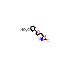 O=C1NC(=O)/C(=C\c2ccc(-c3cccc(C(=O)O)c3)o2)S1